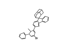 CC1C(c2ccc3c(c2)-c2ccccc2C32C3CC4CC(C3)CC2C4)=CC(Br)=CC1c1ccccc1